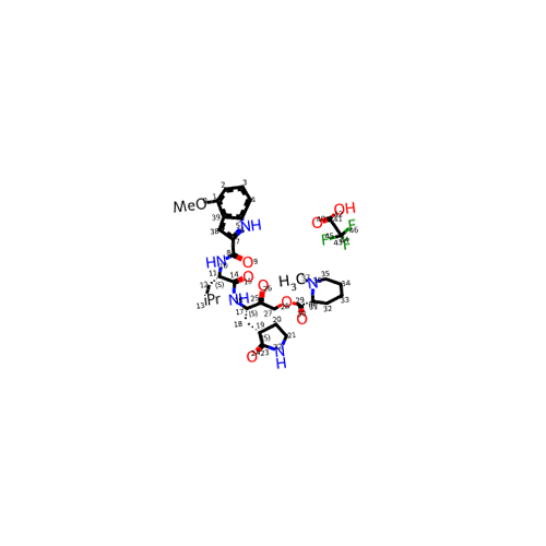 COc1cccc2[nH]c(C(=O)N[C@@H](CC(C)C)C(=O)N[C@@H](C[C@@H]3CCNC3=O)C(=O)COC(=O)[C@H]3CCCCN3C)cc12.O=C(O)C(F)(F)F